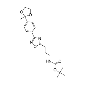 CC(C)(C)OC(=O)NCCCc1nc(-c2ccc(C3(C)OCCO3)cc2)no1